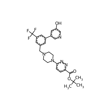 CC(C)(C)OC(=O)c1ccc(N2CCN(Cc3cc(-c4cncc(O)c4)cc(C(F)(F)F)c3)CC2)nn1